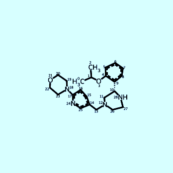 CC(C)Oc1ccccc1[C@H]1CN(Cc2ccc(N3CCOCC3)nc2)CCN1